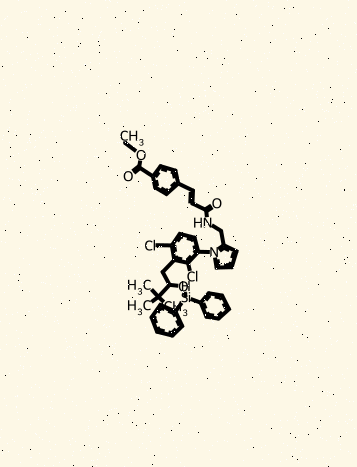 CCOC(=O)c1ccc(C=CC(=O)NCc2cccn2-c2ccc(Cl)c(CC(O[SiH](c3ccccc3)c3ccccc3)C(C)(C)C)c2Cl)cc1